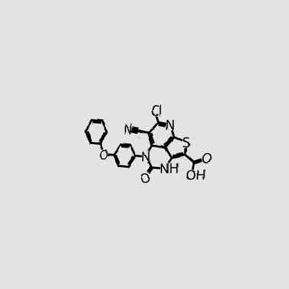 N#Cc1c(Cl)nc2sc(C(=O)O)c3c2c1N(c1ccc(Oc2ccccc2)cc1)C(=O)N3